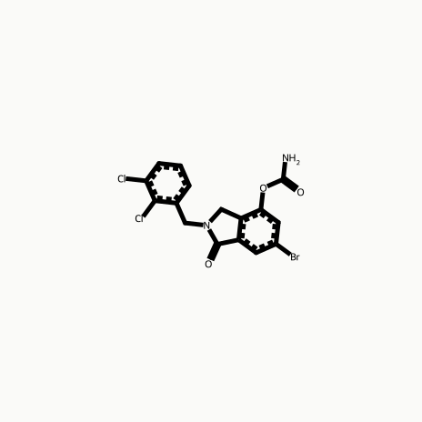 NC(=O)Oc1cc(Br)cc2c1CN(Cc1cccc(Cl)c1Cl)C2=O